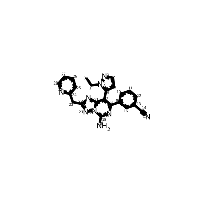 CCn1nccc1-c1c(-c2cccc(C#N)c2)nc(N)n2nc(Cc3ccccn3)nc12